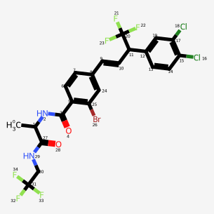 CC(NC(=O)c1ccc(/C=C/C(c2ccc(Cl)c(Cl)c2)C(F)(F)F)cc1Br)C(=O)NCC(F)(F)F